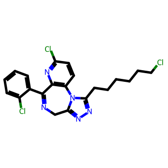 ClCCCCCCc1nnc2n1-c1ccc(Cl)nc1C(c1ccccc1Cl)=NC2